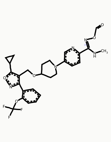 CN/C(=N\OC=O)c1ccc(N2CCC(OCc3c(-c4ccccc4OC(F)(F)F)noc3C3CC3)CC2)cn1